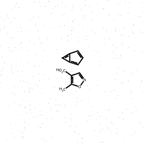 Cc1oncc1C(=O)O.c1cc2cc-2c1